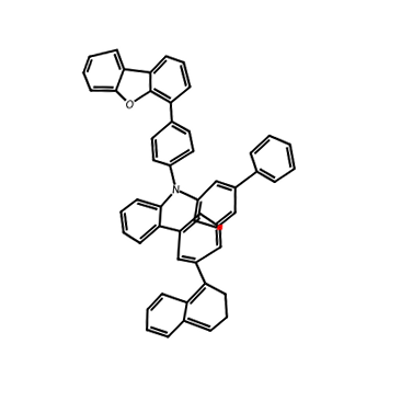 C1=c2ccccc2=C(c2cccc(-c3ccccc3N(c3ccc(-c4cccc5c4oc4ccccc45)cc3)c3cccc(-c4ccccc4)c3)c2)CC1